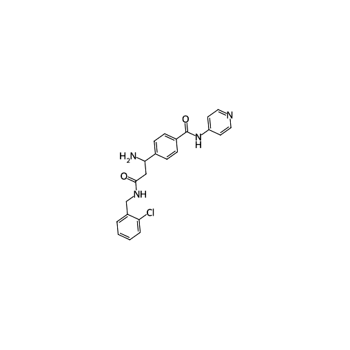 NC(CC(=O)NCc1ccccc1Cl)c1ccc(C(=O)Nc2ccncc2)cc1